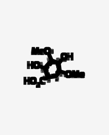 COc1cc(C(=O)O)c(O)c(OC)c1O